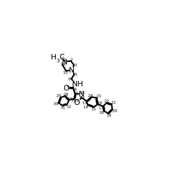 CN1CCN(CCNC(=O)c2nc(-c3ccc(-c4ccccc4)cc3)oc2-c2ccccc2)CC1